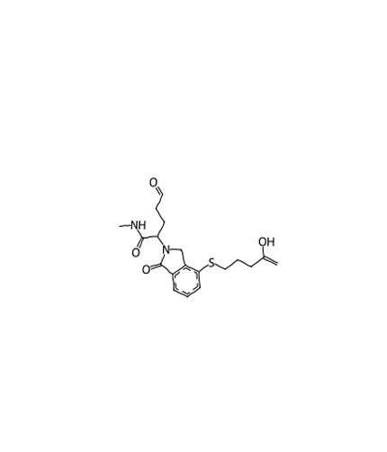 C=C(O)CCCSc1cccc2c1CN(C(CCC=O)C(=O)NC)C2=O